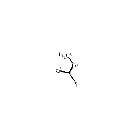 COC(F)Cl